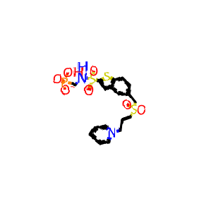 O=P([O-])(O)CNS(=O)(=O)c1cc2cc(CS(=O)(=O)CCC[n+]3ccccc3)ccc2s1